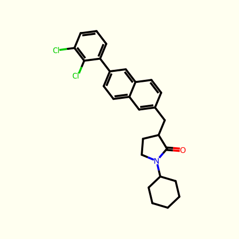 O=C1C(Cc2ccc3cc(-c4cccc(Cl)c4Cl)ccc3c2)CCN1C1CCCCC1